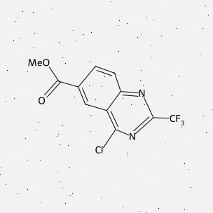 COC(=O)c1ccc2nc(C(F)(F)F)nc(Cl)c2c1